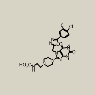 Cn1c(=O)c2c(nc(N3CCN(CCNC(=O)O)CC3)n2Cc2nnc(-c3ccc(Cl)c(Cl)c3)o2)n(C)c1=O